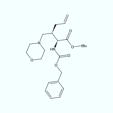 C=CC[C@H](CN1CCOCC1)[C@H](NC(=O)OCc1ccccc1)C(=O)OC(C)(C)C